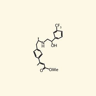 COC(=O)C=C(C)c1ccc(C[C@@H](C)NC[C@H](O)c2cccc(C(F)(F)F)c2)cc1